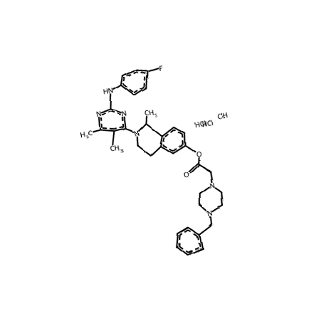 Cc1nc(Nc2ccc(F)cc2)nc(N2CCc3cc(OC(=O)CN4CCN(Cc5ccccc5)CC4)ccc3C2C)c1C.Cl.Cl.Cl